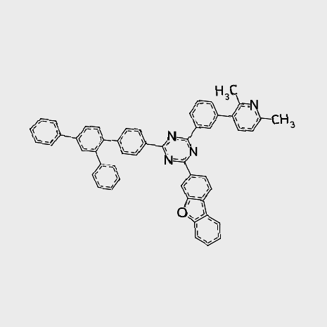 Cc1ccc(-c2cccc(-c3nc(-c4ccc(-c5ccc(-c6ccccc6)cc5-c5ccccc5)cc4)nc(-c4ccc5c(c4)oc4ccccc45)n3)c2)c(C)n1